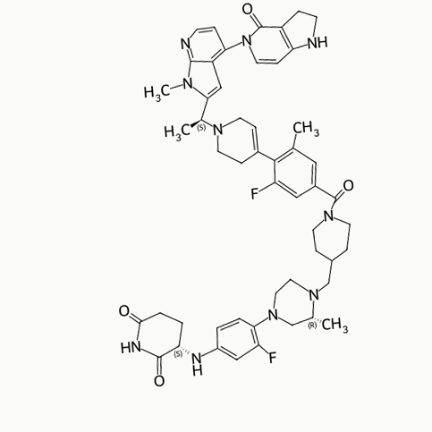 Cc1cc(C(=O)N2CCC(CN3CCN(c4ccc(N[C@H]5CCC(=O)NC5=O)cc4F)C[C@H]3C)CC2)cc(F)c1C1=CCN([C@@H](C)c2cc3c(-n4ccc5c(c4=O)CCN5)ccnc3n2C)CC1